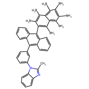 Bc1c(B)c(B)c2c(B)c(-c3c4ccccc4c(-c4cccc(-n5c(C)nc6ccccc65)c4)c4ccccc34)c(B)c(B)c2c1B